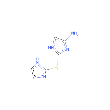 Nc1c[nH]c(Sc2ncc[nH]2)n1